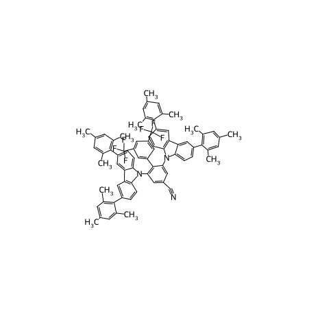 Cc1cc(C)c(-c2ccc3c(c2)c2cc(-c4c(C)cc(C)cc4C)ccc2n3-c2cc(C#N)cc(-n3c4ccc(-c5c(C)cc(C)cc5C)cc4c4cc(-c5c(C)cc(C)cc5C)ccc43)c2-c2cc(C(F)(F)F)cc(C(F)(F)F)c2)c(C)c1